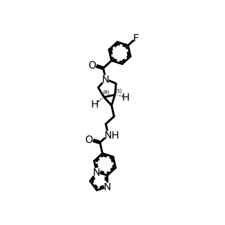 O=C(NCCC1[C@H]2CN(C(=O)c3ccc(F)cc3)C[C@@H]12)c1ccc2nccn2c1